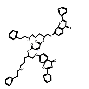 O=C(/C=C\C(=O)OC(CCCNCCc1ccccc1)COc1ccc2c(=O)cc(-c3ccccc3)oc2c1)OC(CCCNCCc1ccccc1)COc1ccc2c(=O)cc(-c3ccccc3)oc2c1